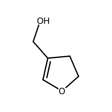 OCC1=COCC1